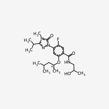 CC(C)C[C@H](C)Oc1cc(-n2nc(C(C)C)n(C)c2=O)c(F)cc1C(=O)NCC(C)O